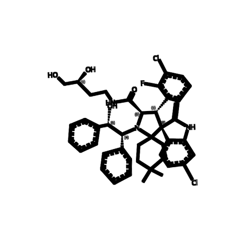 CC1(C)CCC2(CC1)N([C@H](c1ccccc1)[C@@H](O)c1ccccc1)[C@@H](C(=O)NCC[C@H](O)CO)[C@H](c1cccc(Cl)c1F)[C@]21C(=O)Nc2cc(Cl)ccc21